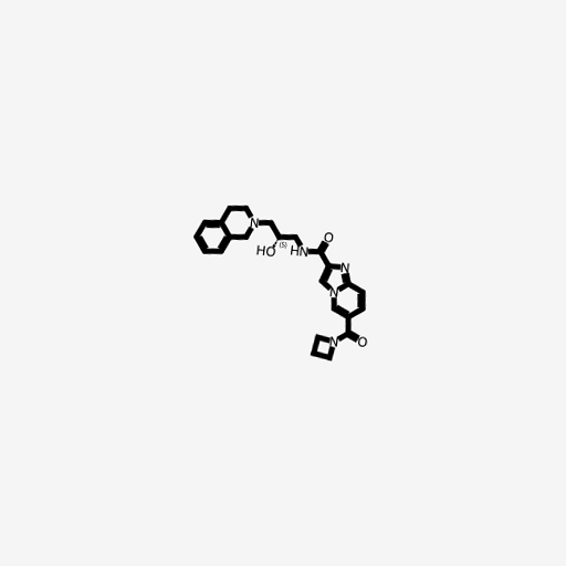 O=C(NC[C@H](O)CN1CCc2ccccc2C1)c1cn2cc(C(=O)N3CCC3)ccc2n1